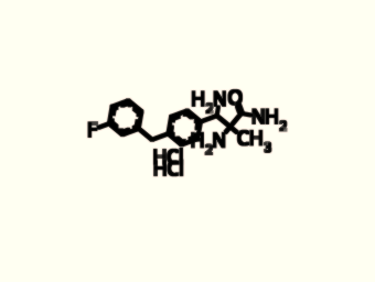 CC(N)(C(N)=O)C(N)c1ccc(Cc2cccc(F)c2)cc1.Cl.Cl